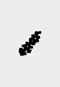 COc1ccc2nc(-c3ccc(-c4cnco4)c(Br)c3)sc2c1